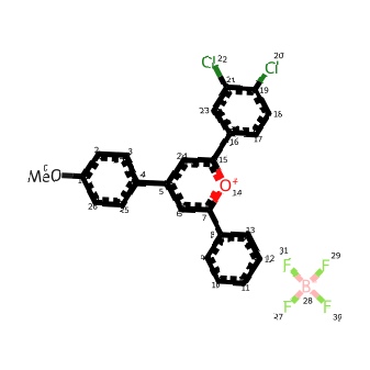 COc1ccc(-c2cc(-c3ccccc3)[o+]c(-c3ccc(Cl)c(Cl)c3)c2)cc1.F[B-](F)(F)F